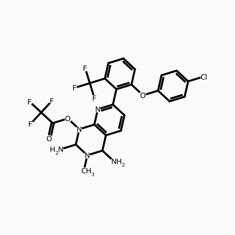 CN1C(N)c2ccc(-c3c(Oc4ccc(Cl)cc4)cccc3C(F)(F)F)nc2N(OC(=O)C(F)(F)F)C1N